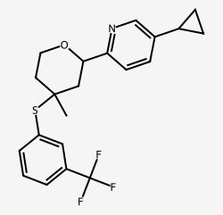 CC1(Sc2cccc(C(F)(F)F)c2)CCOC(c2ccc(C3CC3)cn2)C1